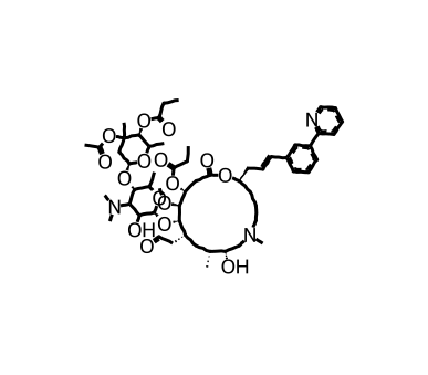 CCC(=O)O[C@@H]1CC(=O)O[C@@H](C/C=C/c2cccc(-c3ccccn3)c2)CCCN(C)C[C@H](O)[C@H](C)C[C@H](CC=O)[C@H](O[C@@H]2OC(C)[C@@H](O[C@H]3CC(C)(OC(C)=O)[C@@H](OC(=O)CC)C(C)O3)C(N(C)C)C2O)[C@H]1OC